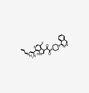 C=C/C=N\C=C(/N)c1ncc(F)c2c(C(=O)C(=O)N3CCN(c4nncc5ccccc45)CC3)c[nH]c12